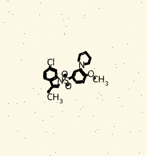 CCc1cn(S(=O)(=O)c2ccc(OC)c(N3CCCCC3)c2)c2cc(Cl)ccc12